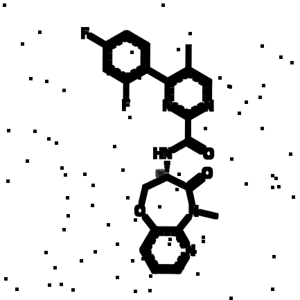 Cc1cnc(C(=O)N[C@H]2COc3cccnc3N(C)C2=O)nc1-c1ccc(F)cc1F